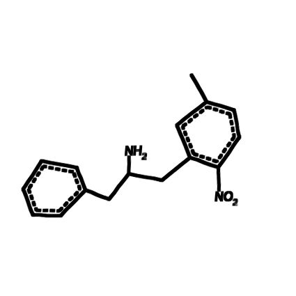 Cc1ccc([N+](=O)[O-])c(CC(N)Cc2ccccc2)c1